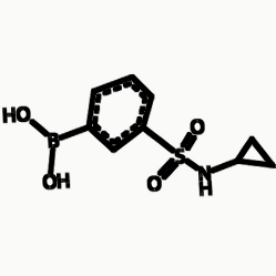 O=S(=O)(NC1CC1)c1cccc(B(O)O)c1